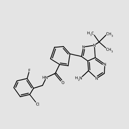 CC(C)(C)n1nc(-c2cccc(C(=O)NCc3c(F)cccc3Cl)c2)c2c(N)ncnc21